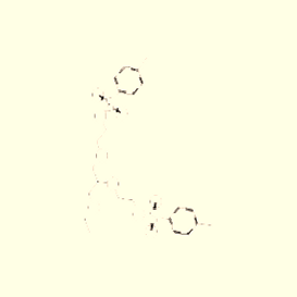 CCOCC(COCCOS(=O)(=O)c1ccc(C)cc1)OCCOS(=O)(=O)c1ccc(C)cc1